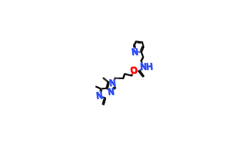 C=C/N=C(/C)c1ncn(CCCCOC(=C)NCCc2ccccn2)c1C